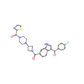 O=C(c1ccc(F)cc1)c1c[nH]c2cc(C(=O)N3CC(N4CCN(C(=O)c5nccs5)CC4)C3)ccc12